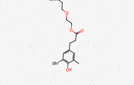 COCCOCCOC(=O)CCc1cc(C)c(O)c(C(C)(C)C)c1